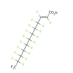 O=C(O)C(F)=C(F)C(F)(F)C(F)(F)C(F)(F)C(F)(F)C(F)(F)C(F)(F)C(F)(F)C(F)(F)C(F)(F)F